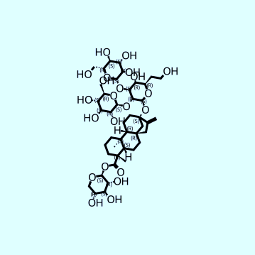 C=C1C[C@@]23CC[C@H]4[C@@](C)(CCC[C@@]4(C)C(=O)O[C@@H]4OC[C@@H](O)[C@H](O)[C@H]4O)[C@@H]2CC[C@]1(O[C@@H]1O[C@H](CCO)[C@@H](O)[C@H](O[C@@H]2O[C@H](CO)[C@@H](O)[C@H](O)[C@H]2O)[C@H]1O[C@@H]1O[C@H](CO)[C@@H](O)[C@H](O)[C@H]1O)C3